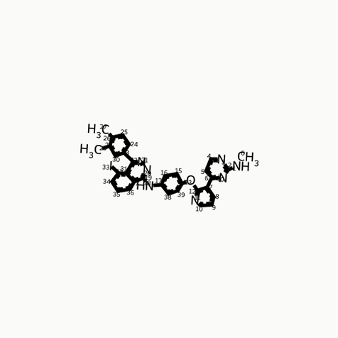 CNc1nccc(-c2cccnc2Oc2ccc(Nc3nnc(-c4ccc(C)c(C)c4)c4c(I)cccc34)cc2)n1